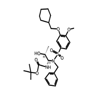 COc1ccc(S(=O)(=O)N(Cc2ccccc2)[C@H](NC(=O)OC(C)(C)C)[C@@H](C)O)cc1OCC1CCCCC1